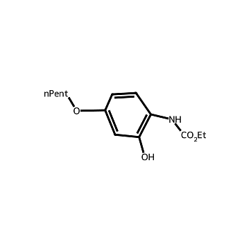 CCCCCOc1ccc(NC(=O)OCC)c(O)c1